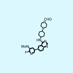 CNc1cc(-c2ccc3ncnc(NC4CCC(N5CCN(C=O)CC5)CC4)c3c2)cnc1F